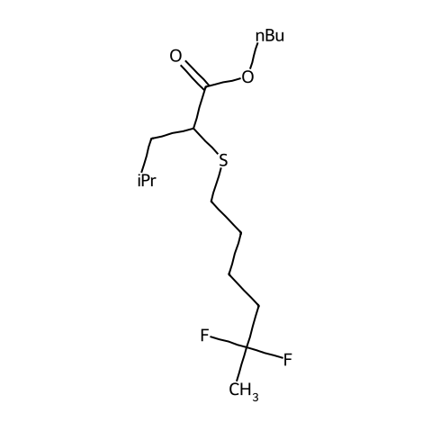 CCCCOC(=O)C(CC(C)C)SCCCCC(C)(F)F